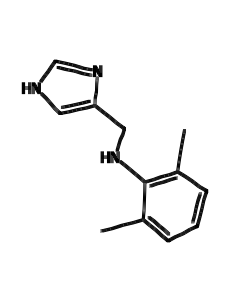 Cc1cccc(C)c1NCc1c[nH]cn1